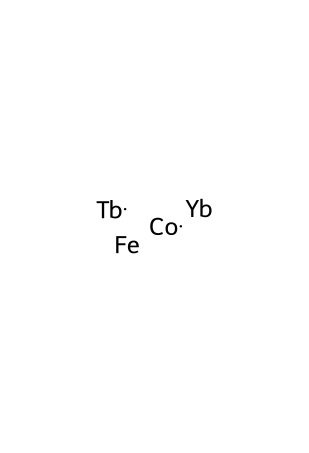 [Co].[Fe].[Tb].[Yb]